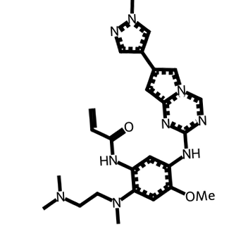 C=CC(=O)Nc1cc(Nc2ncn3cc(-c4cnn(C)c4)cc3n2)c(OC)cc1N(C)CCN(C)C